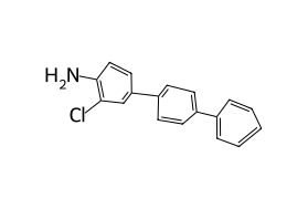 Nc1ccc(-c2ccc(-c3ccccc3)cc2)cc1Cl